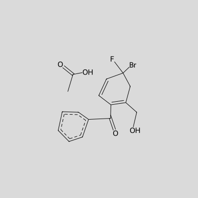 CC(=O)O.O=C(C1=C(CO)CC(F)(Br)C=C1)c1ccccc1